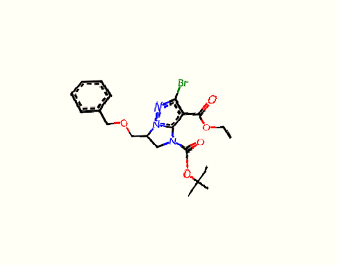 CCOC(=O)c1c(Br)nn2c1N(C(=O)OC(C)(C)C)CC2COCc1ccccc1